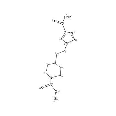 COC(=O)c1cn(CCC2CCN(C(=O)OC(C)(C)C)CC2)cn1